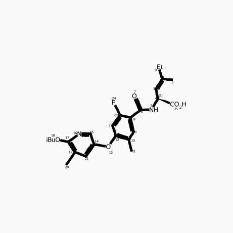 CCC(C)=C[C@H](NC(=O)c1cc(C)c(Oc2cnc(OCC(C)C)c(C)c2)cc1F)C(=O)O